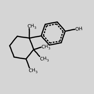 CC1CCCC(C)(c2ccc(O)cc2)C1(C)C